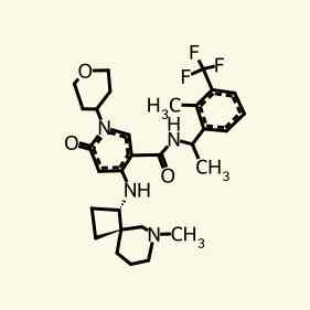 Cc1c(C(C)NC(=O)c2cn(C3CCOCC3)c(=O)cc2N[C@H]2CC[C@@]23CCCN(C)C3)cccc1C(F)(F)F